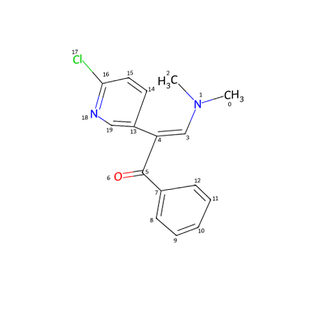 CN(C)C=C(C(=O)c1ccccc1)c1ccc(Cl)nc1